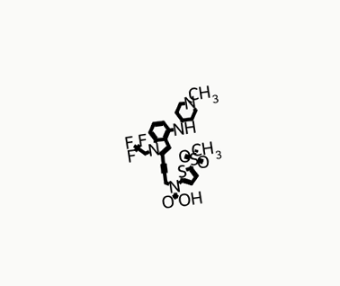 CN1CCC(Nc2cccc3c2cc(C#CCN(C(=O)O)c2ccc(S(C)(=O)=O)s2)n3CC(F)(F)F)CC1